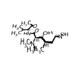 CC(=O)[C@H](NC(=O)[C@@H]([C@H](O)[C@H](C)C/C=N/O)N(C)C)C(C)C